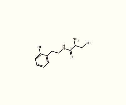 NC(CO)C(=O)NCCc1ccccc1O